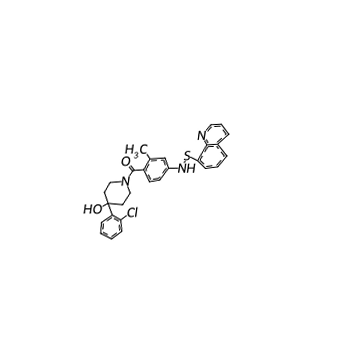 Cc1cc(NSc2cccc3cccnc23)ccc1C(=O)N1CCC(O)(c2ccccc2Cl)CC1